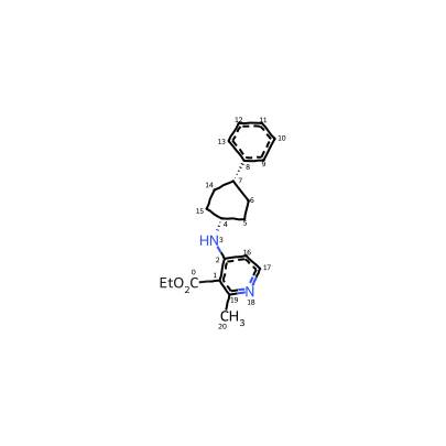 CCOC(=O)c1c(N[C@H]2CC[C@@H](c3ccccc3)CC2)ccnc1C